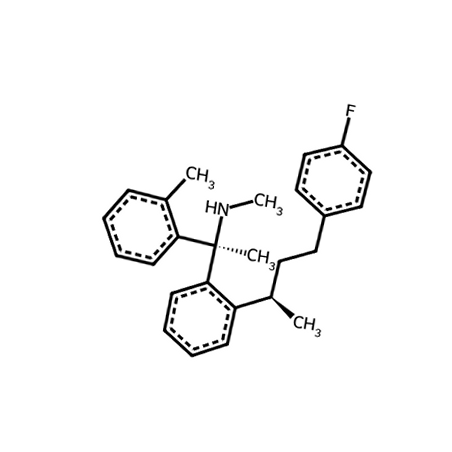 CN[C@](C)(c1ccccc1C)c1ccccc1[C@H](C)CCc1ccc(F)cc1